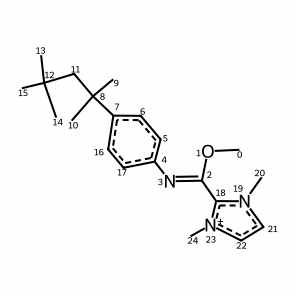 CO/C(=N\c1ccc(C(C)(C)CC(C)(C)C)cc1)c1n(C)cc[n+]1C